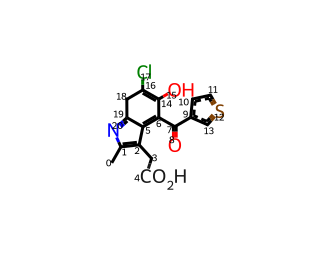 CC1=C(CC(=O)O)C2=C(C(=O)c3ccsc3)C(O)=C(Cl)CC2=N1